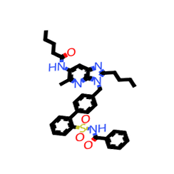 CCCCC(=O)Nc1cc2nc(CCCC)n(Cc3ccc(-c4ccccc4S(=O)(=O)NC(=O)c4ccccc4)cc3)c2nc1C